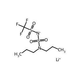 CCCN(CCC)S(=O)(=O)[N-]S(=O)(=O)C(F)(F)F.[Li+]